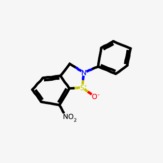 O=[N+]([O-])c1cccc2c1[S+]([O-])N(c1ccccc1)C2